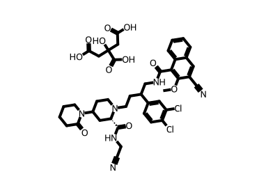 COc1c(C#N)cc2ccccc2c1C(=O)NCC(CCN1CCC(N2CCCCC2=O)C[C@H]1C(=O)NCC#N)c1ccc(Cl)c(Cl)c1.O=C(O)CC(O)(CC(=O)O)C(=O)O